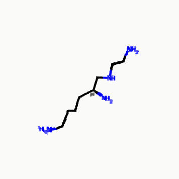 NCCCC[C@H](N)CNCCN